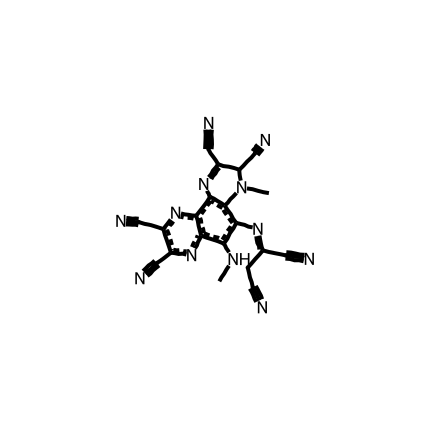 CNc1c(/N=C(/C#N)CC#N)c2c(c3nc(C#N)c(C#N)nc13)N=C(C#N)C(C#N)N2C